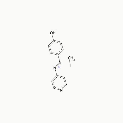 CI.Oc1ccc(/N=N/c2ccncc2)cc1